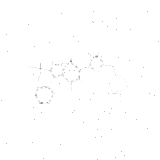 Cc1[nH]c2c(-c3ccccc3)c(C(F)(F)F)nn2c(=O)c1-c1nnc(CC2CCN(C)CC2)o1